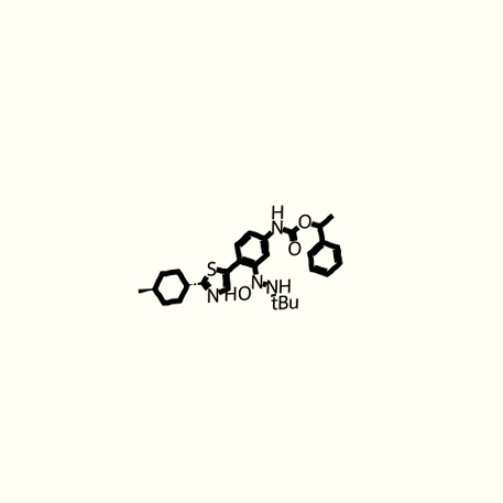 CC(OC(=O)Nc1ccc(-c2cnc([C@H]3CC[C@H](C)CC3)s2)c(N(O)NC(C)(C)C)c1)c1ccccc1